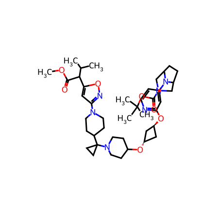 COC(=O)C(c1cc(N2CCC(C3(N4CCC(O[C@H]5C[C@H](Oc6cc(N7C8CCC7CN(C(=O)OC(C)(C)C)C8)ccn6)C5)CC4)CC3)CC2)no1)C(C)C